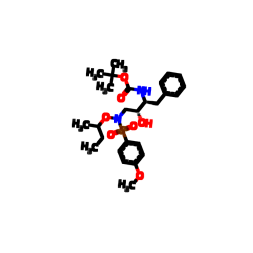 CCC(C)ON(C[C@@H](O)[C@H](Cc1ccccc1)NC(=O)OC(C)(C)C)S(=O)(=O)c1ccc(OC)cc1